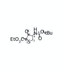 CCOC(=O)[C@@H]1SCC(NC(=O)OC(C)(C)C)C1=O